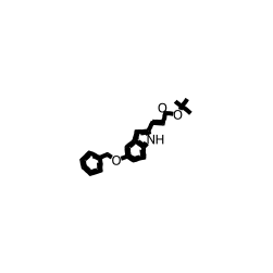 CC(C)(C)OC(=O)/C=C/c1cc2cc(OCc3ccccc3)ccc2[nH]1